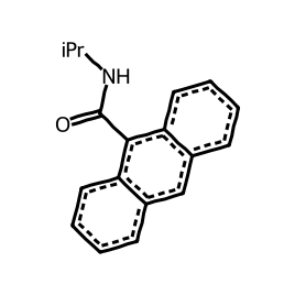 CC(C)NC(=O)c1c2ccccc2cc2ccccc12